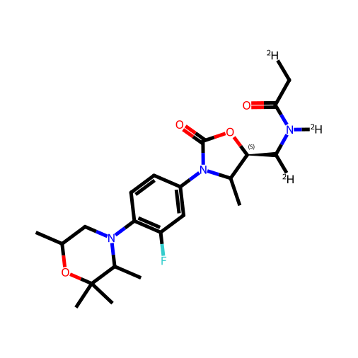 [2H]CC(=O)N([2H])C([2H])[C@@H]1OC(=O)N(c2ccc(N3CC(C)OC(C)(C)C3C)c(F)c2)C1C